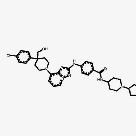 O=C(NC1CCN(C2CCCC2)CC1)c1ccc(Nc2nc3c(N4CCC(CO)(c5ccc(Cl)cc5)CC4)cccn3n2)cc1